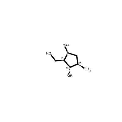 C[C@@H]1CN(C(C)(C)C)[C@H](CO)[C@H]1O